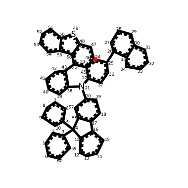 c1ccc(C2(c3ccccc3)c3ccccc3-c3ccc(N(c4ccc(-c5cccc6ccccc56)cc4)c4ccccc4-c4cccc5sc6ccccc6c45)cc32)cc1